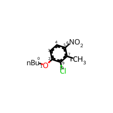 CCCCOc1ccc([N+](=O)[O-])c(C)c1Cl